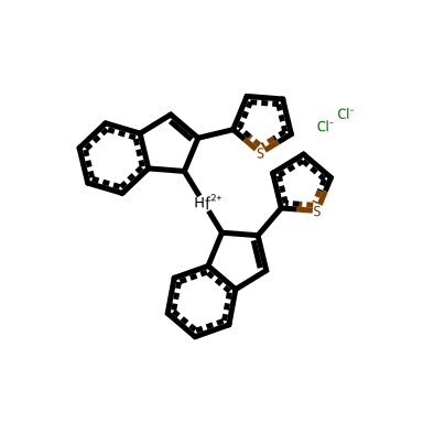 C1=C(c2cccs2)[CH]([Hf+2][CH]2C(c3cccs3)=Cc3ccccc32)c2ccccc21.[Cl-].[Cl-]